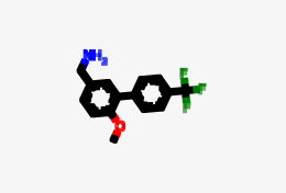 COc1ccc(CN)cc1-c1ccc(C(F)(F)F)cc1